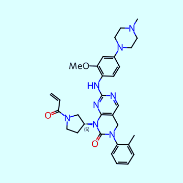 C=CC(=O)N1CC[C@H](N2C(=O)N(c3ccccc3C)Cc3cnc(Nc4ccc(N5CCN(C)CC5)cc4OC)nc32)C1